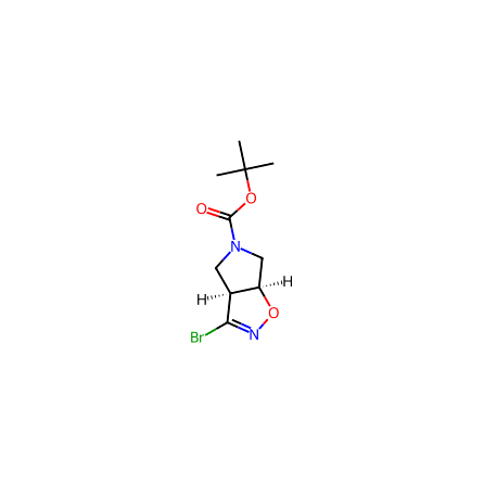 CC(C)(C)OC(=O)N1C[C@@H]2C(Br)=NO[C@@H]2C1